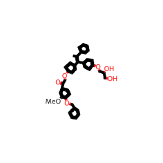 COc1cc(C(=O)COc2ccc(/C(=C(\C)c3ccccc3)c3ccc(OCC(O)CO)cc3)cc2)ccc1OCc1ccccc1